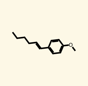 CCCCC=Cc1ccc(OC)cc1